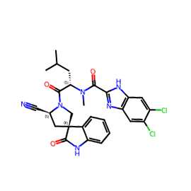 CC(C)C[C@@H](C(=O)N1C[C@]2(C[C@H]1C#N)C(=O)Nc1ccccc12)N(C)C(=O)c1nc2cc(Cl)c(Cl)cc2[nH]1